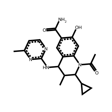 CC(=O)N1c2cc(O)c(C(N)=O)cc2C(Nc2nccc(C)n2)C(C)C1C1CC1